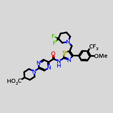 COc1ccc(-c2nc(NC(=O)c3cnc(N4CCC(C(=O)O)CC4)cn3)sc2CN2CCCC(F)(F)C2)cc1C(F)(F)F